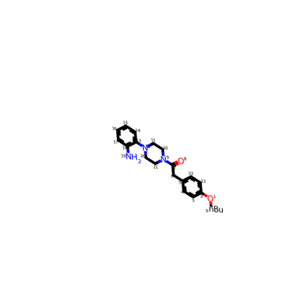 CCCCOc1ccc(CC(=O)N2CCN(c3ccccc3N)CC2)cc1